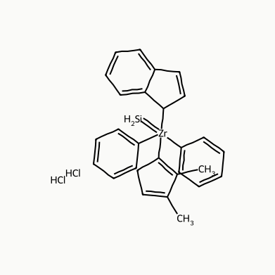 CC1=CC[C]([Zr](=[SiH2])([c]2ccccc2)([c]2ccccc2)[CH]2C=Cc3ccccc32)=C1C.Cl.Cl